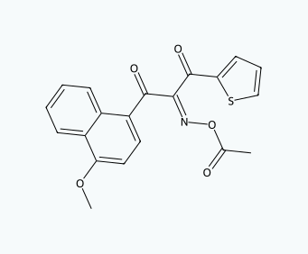 COc1ccc(C(=O)C(=NOC(C)=O)C(=O)c2cccs2)c2ccccc12